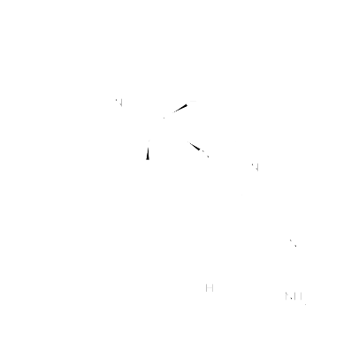 Cc1cc(-c2cn([C@H]3[C@@H]4CN(C5CCOCC5)C[C@@H]43)c(CC3CC3)n2)cnc1N